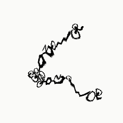 C=CC(=O)OCCCCCCOc1ccc(-c2ccc(C(=O)O[C@H]3OCCO[C@@H]3OC(=O)c3ccc(-c4ccc(OCCCCCCOC(=O)C=C)cn4)cc3)cc2)nc1